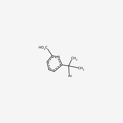 CC(=O)C(C)(C)c1cccc(C(=O)O)n1